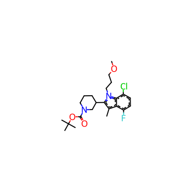 COCCCn1c(C2CCCN(C(=O)OC(C)(C)C)C2)c(C)c2c(F)ccc(Cl)c21